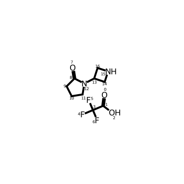 O=C(O)C(F)(F)F.O=C1CCCN1C1CNC1